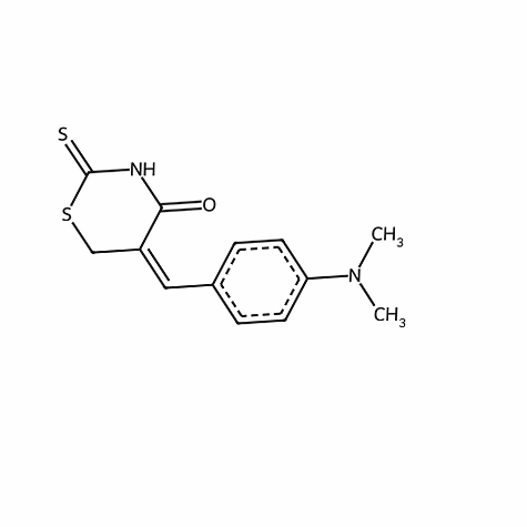 CN(C)c1ccc(/C=C2/CSC(=S)NC2=O)cc1